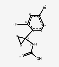 O=C(O)NC1(c2ccc(Br)cc2F)CC1